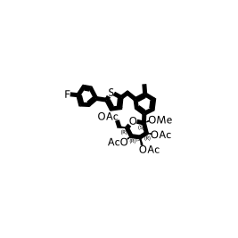 CO[C@@]1(c2ccc(C)c(Cc3ccc(-c4ccc(F)cc4)s3)c2)O[C@H](COC(C)=O)[C@@H](OC(C)=O)[C@H](OC(C)=O)[C@H]1OC(C)=O